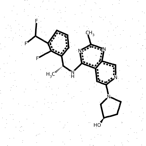 Cc1nc(N[C@H](C)c2cccc(C(F)F)c2F)c2cc(N3CC[C@@H](O)C3)ncc2n1